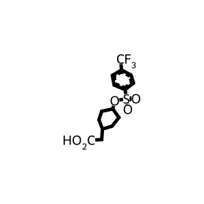 O=C(O)CC1CCC(OS(=O)(=O)c2ccc(C(F)(F)F)cc2)CC1